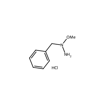 CON(N)Cc1ccccc1.Cl